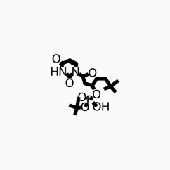 CC(C)(C)CC1OC(n2ccc(=O)[nH]c2=O)CC1OP(=O)(O)OC(C)(C)C